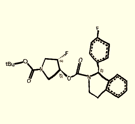 CC(C)(C)OC(=O)N1C[C@H](OC(=O)N2CCc3ccccc3[C@@H]2c2ccc(F)cc2)[C@@H](F)C1